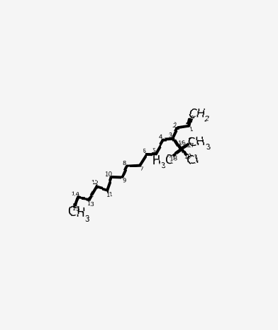 C=CCC(CCCCCCCCCCCC)C(C)(C)Cl